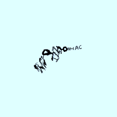 CC(=O)Nc1ccc(-c2ccnc(Nc3cccc(N4CCN(Cc5nccs5)CC4)c3)n2)cc1